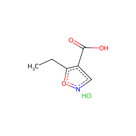 CCc1oncc1C(=O)O.Cl